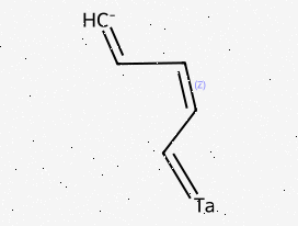 [CH-]=C/C=C\[CH]=[Ta]